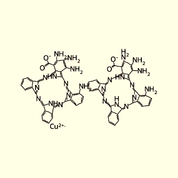 Nc1cccc2c1-c1nc-2nc2[nH]c(nc3nc(nc4[nH]c(n1)c1c(N)c(N)c(N)c(C(=O)[O-])c41)-c1ccccc1-3)c1ccccc21.Nc1cccc2c1-c1nc-2nc2[nH]c(nc3nc(nc4[nH]c(n1)c1c(N)c(N)c(N)c(C(=O)[O-])c41)-c1ccccc1-3)c1ccccc21.[Cu+2]